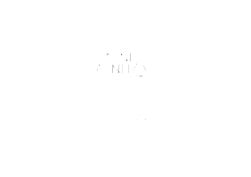 CC(=O)Nc1ccc(CCCCCCO)cc1NC(C)=O